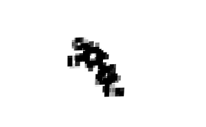 CC(C)(C)c1csc(-c2ccc(Cl)c(Cl)c2)n1